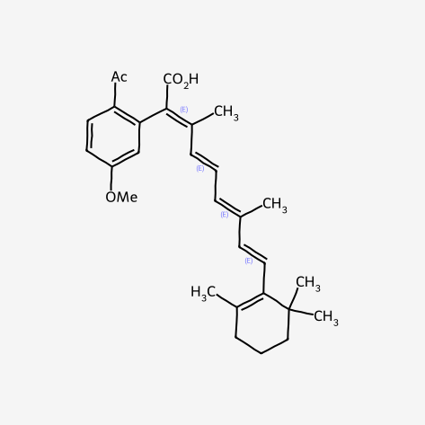 COc1ccc(C(C)=O)c(\C(C(=O)O)=C(C)/C=C/C=C(C)/C=C/C2=C(C)CCCC2(C)C)c1